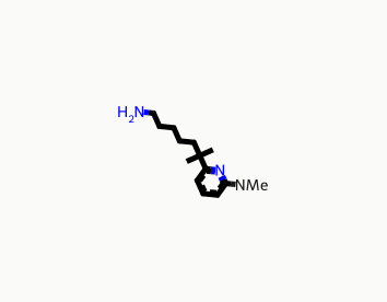 CNc1cccc(C(C)(C)CCCCCN)n1